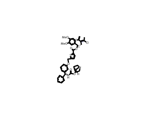 C=C(Cl)/C(C[C@H](OC(=O)c1ccc(COc2cccc([C@@H](NC(=O)O[C@H]3CN4CCC3CC4)c3ccccc3)c2)s1)c1ccc(OC)c(OC)c1)=C(\C)Cl